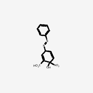 O=C(O)C1=CC(/N=N/c2ccccc2)C=CC1(O)[N+](=O)[O-]